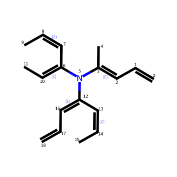 C=C/C=C(\C)N(C(/C=C\C)=C/C)C(/C=C\C)=C/C=C